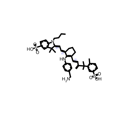 C=C(/C=C/C1=C(Nc2ccc(CN)cc2)C(=C/C=C2/N(CCCC)c3ccc(S(=O)(=O)O)cc3C2(C)C)/CCC1)C(C)(C)c1cc(S(=O)(=O)O)ccc1C